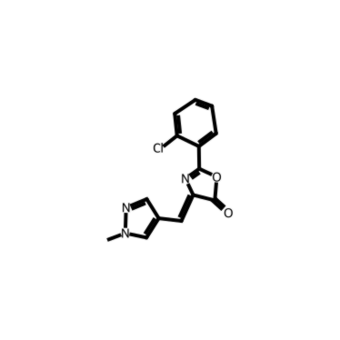 Cn1cc(/C=C2\N=C(c3ccccc3Cl)OC2=O)cn1